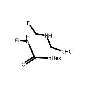 CCCCCCC(=O)NCC.O=CCNCF